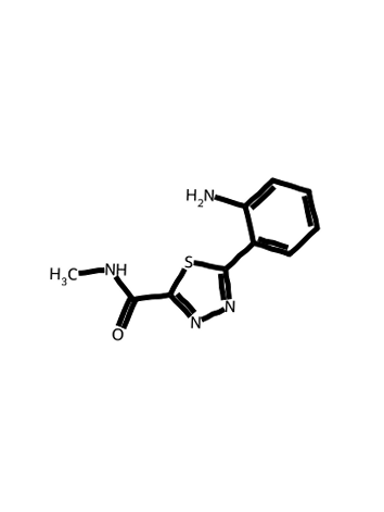 CNC(=O)c1nnc(-c2ccccc2N)s1